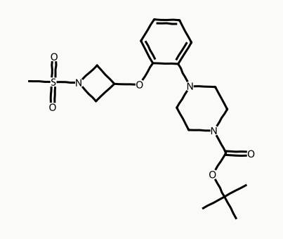 CC(C)(C)OC(=O)N1CCN(c2ccccc2OC2CN(S(C)(=O)=O)C2)CC1